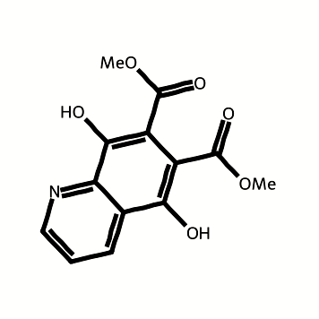 COC(=O)c1c(C(=O)OC)c(O)c2ncccc2c1O